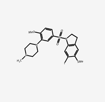 COc1ccc(S(=O)(=O)N2CCc3cc(SC)c(I)cc32)cc1N1CCN(C)CC1